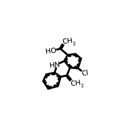 C=C(O)c1ccc(Cl)c2c1Nc1ccccc1C2=C